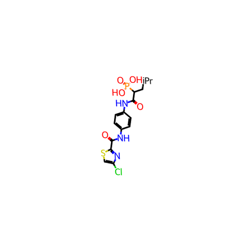 CC(C)CC(C(=O)Nc1ccc(NC(=O)c2nc(Cl)cs2)cc1)P(=O)(O)O